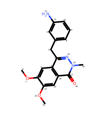 COc1cc2c(Cc3cccc(N)c3)nn(C)c(=O)c2cc1OC